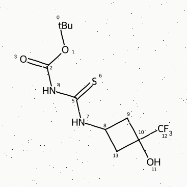 CC(C)(C)OC(=O)NC(=S)NC1CC(O)(C(F)(F)F)C1